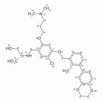 Cc1c(COc2cc(OCCCN(C)C)c(CN[C@@H](CO)C(=O)O)cc2Cl)cccc1-c1ccc2c(c1)OCCO2